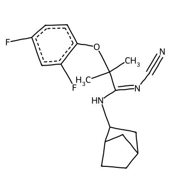 CC(C)(Oc1ccc(F)cc1F)C(=NC#N)NC1CC2CCC1C2